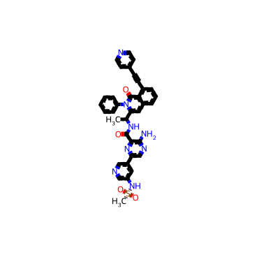 CC(NC(=O)c1nc(-c2cncc(NS(C)(=O)=O)c2)cnc1N)c1cc2cccc(C#Cc3ccncc3)c2c(=O)n1-c1ccccc1